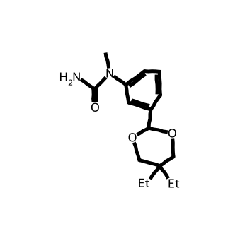 CCC1(CC)COC(c2cccc(N(C)C(N)=O)c2)OC1